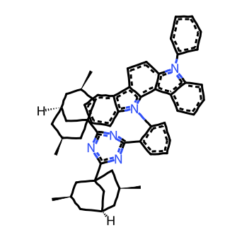 C[C@@H]1C[C@@H]2C[C@H](C)CC(c3nc(-c4ccccc4-n4c5ccccc5c5ccc6c(c7ccccc7n6-c6ccccc6)c54)nc(C45C[C@H](C)C[C@H](C[C@H](C)C4)C5)n3)(C1)C2